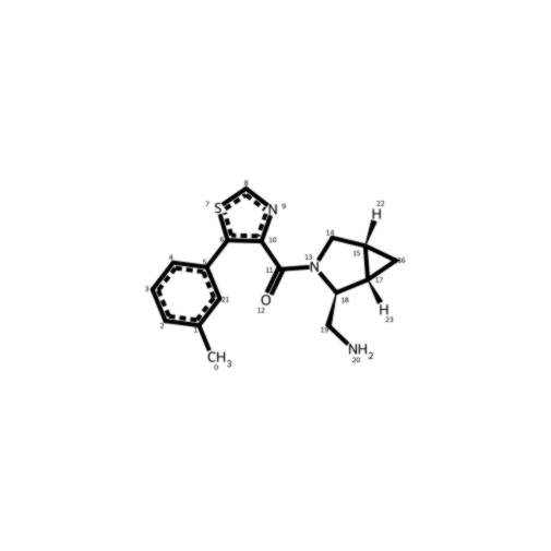 Cc1cccc(-c2scnc2C(=O)N2C[C@@H]3C[C@@H]3[C@H]2CN)c1